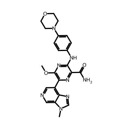 COc1nc(Nc2ccc(N3CCOCC3)cc2)c(C(N)=O)nc1-c1cncc2c1ncn2C